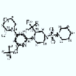 C[C@@H]1COCCN1c1cc(OC(C)(C)C)nc(N2CCN(S(=O)(=O)N3CCCCC3)CC2C(F)(F)F)c1